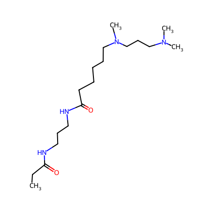 CCC(=O)NCCCNC(=O)CCCCCN(C)CCCN(C)C